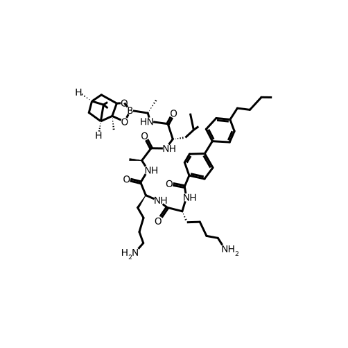 CCCCc1ccc(-c2ccc(C(=O)N[C@H](CCCCN)C(=O)N[C@@H](CCCCN)C(=O)N[C@@H](C)C(=O)N[C@@H](CC(C)C)C(=O)N[C@@H](C)B3OC4C[C@@H]5C[C@@H](C5(C)C)[C@]4(C)O3)cc2)cc1